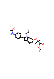 CCCn1c(-c2ccc(NC(C)=O)cc2)cc2ccc(OC(C)(C)C(=O)OCC)cc21